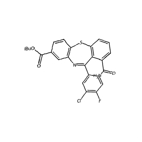 CC(C)COC(=O)c1ccc2c(c1)N=C(c1ccc(F)c(Cl)c1)c1c(cccc1C(N)=O)S2